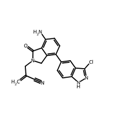 C=C(C#N)CN1Cc2c(-c3ccc4[nH]nc(Cl)c4c3)ccc(N)c2C1=O